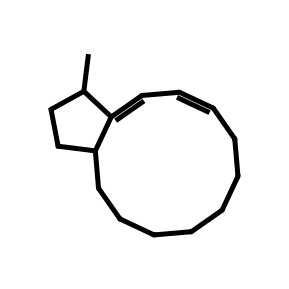 CC1CCC2CCCCCCCC=CC=C12